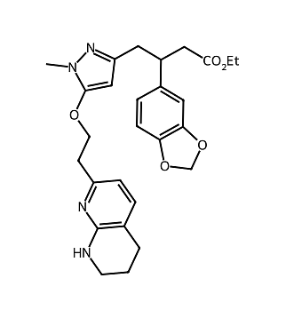 CCOC(=O)CC(Cc1cc(OCCc2ccc3c(n2)NCCC3)n(C)n1)c1ccc2c(c1)OCO2